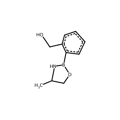 CC1COB(c2ccccc2CO)N1